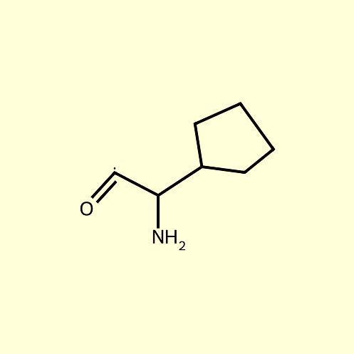 NC([C]=O)C1CCCC1